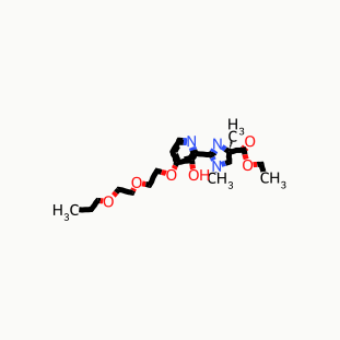 CCCOCCOCCOc1ccnc(C2=N[C@@](C)(C(=O)OCC)CN2C)c1O